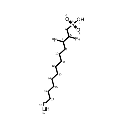 O=S(=O)(O)CC(F)C(F)CCCCCCCCCF.[LiH]